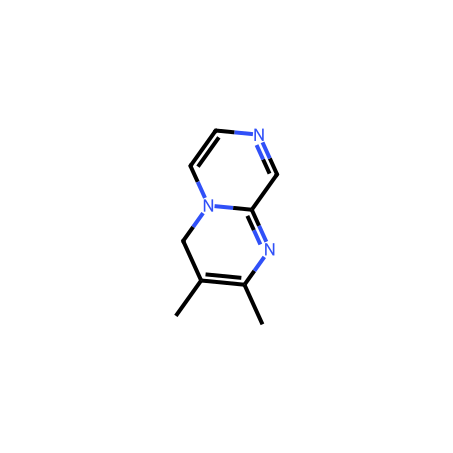 CC1=C(C)N=C2C=NC=CN2C1